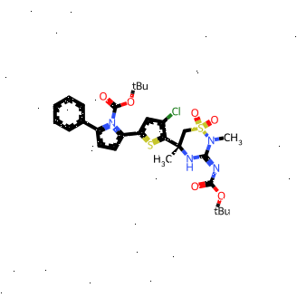 CN1/C(=N/C(=O)OC(C)(C)C)N[C@](C)(c2sc(-c3ccc(-c4ccccc4)n3C(=O)OC(C)(C)C)cc2Cl)CS1(=O)=O